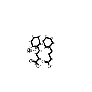 O=C([O-])CCCC1CCCCC1.O=C([O-])CCCC1CCCCC1.[Ba+2]